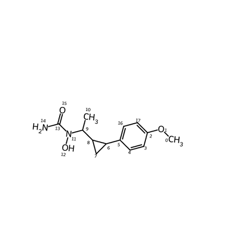 COc1ccc(C2CC2C(C)N(O)C(N)=O)cc1